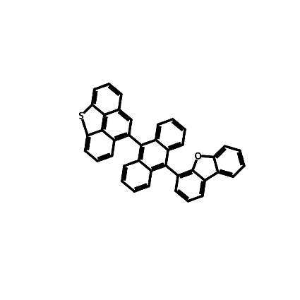 c1ccc2c(c1)oc1c(-c3c4ccccc4c(-c4cc5cccc6sc7cccc4c7c56)c4ccccc34)cccc12